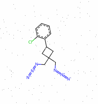 [N-]=[N+]=NCC1(CN=[N+]=[N-])CC(c2ccccc2Cl)C1